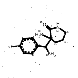 BC(c1ccc(F)cc1)C1(B)CCCNC1=O